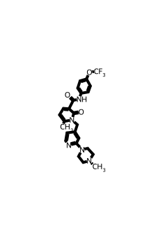 Cc1ccc(C(=O)Nc2ccc(OC(F)(F)F)cc2)c(=O)n1Cc1ccnc(N2CCN(C)CC2)c1